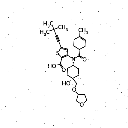 CC1=CC[C@@H](C(=O)N(c2cc(C#CC(C)(C)C)sc2C(=O)O)[C@H]2CC[C@](O)(CO[C@H]3CCOC3)CC2)CC1